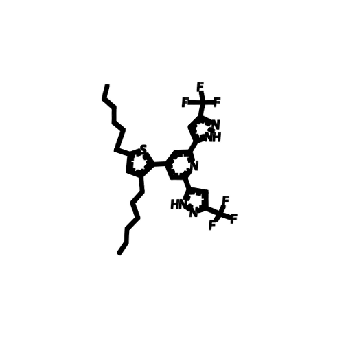 CCCCCCc1cc(CCCCCC)c(-c2cc(-c3cc(C(F)(F)F)n[nH]3)nc(-c3cc(C(F)(F)F)n[nH]3)c2)s1